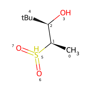 C[C@H]([C@H](O)C(C)(C)C)[SH](=O)=O